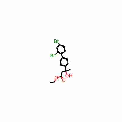 CCOC(=O)CC(C)(O)c1ccc(-c2ccc(Br)cc2Br)cc1